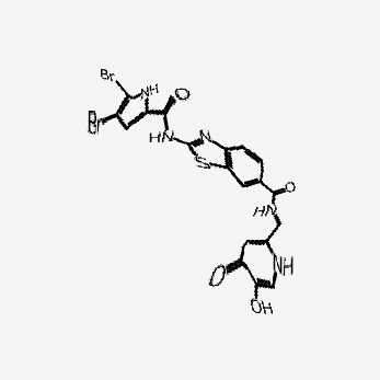 O=C(NCc1cc(=O)c(O)c[nH]1)c1ccc2nc(NC(=O)c3cc(Br)c(Br)[nH]3)sc2c1